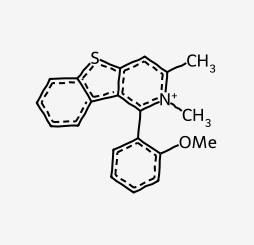 COc1ccccc1-c1c2c(cc(C)[n+]1C)sc1ccccc12